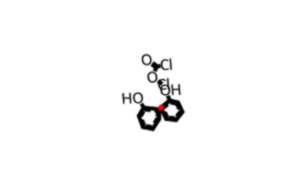 O=C(Cl)OCl.Oc1ccccc1.Oc1ccccc1